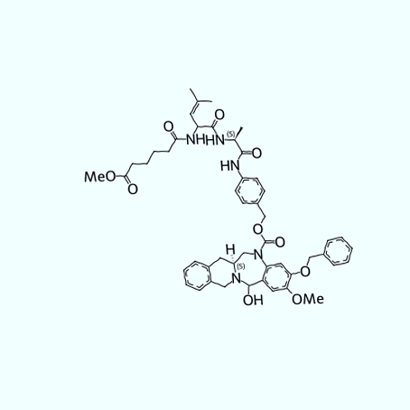 COC(=O)CCCCC(=O)NC(C=C(C)C)C(=O)N[C@@H](C)C(=O)Nc1ccc(COC(=O)N2C[C@@H]3Cc4ccccc4CN3C(O)c3cc(OC)c(OCc4ccccc4)cc32)cc1